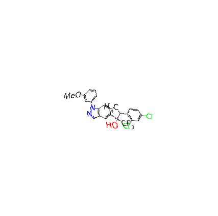 COc1cccc(-n2ncc3cc(C(O)(C(C)c4ccc(Cl)cc4Cl)C(F)(F)F)ccc32)c1